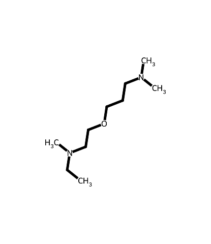 CCN(C)CCOCCCN(C)C